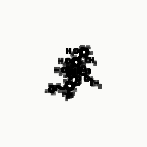 CCOC(=O)CC(O)(NC(=O)C(CC(C)(C)C)n1cc(CCN2CCC2)c(C(F)(F)F)cc1=O)c1cc(-c2c(C)cccc2C)cc(C)c1F